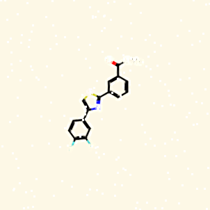 COC(=O)c1cccc(-c2nc(-c3ccc(F)c(F)c3)cs2)c1